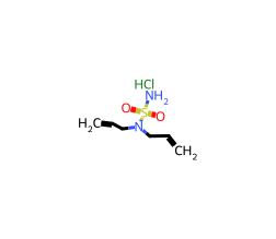 C=CCN(CC=C)S(N)(=O)=O.Cl